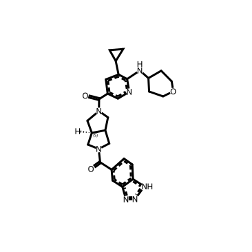 O=C(c1cnc(NC2CCOCC2)c(C2CC2)c1)N1CC2CN(C(=O)c3ccc4[nH]nnc4c3)C[C@H]2C1